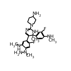 CNc1ccc([C@@]2(C)NC(N3CCC(N)CC3)=NC=C2c2cc(NC)c(N(C)N)cc2F)cc1F